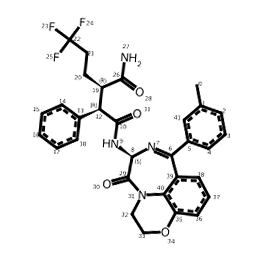 Cc1cccc(C2=N[C@H](NC(=O)[C@@H](c3ccccc3)[C@@H](CCC(F)(F)F)C(N)=O)C(=O)N3CCOc4cccc2c43)c1